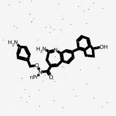 CCCN(OCc1ccc(N)cc1)C(=O)C1=Cc2ccc(-c3cccc4c3CCC4O)cc2N=C(N)C1